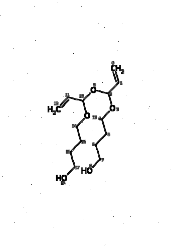 C=CC(OCCCCO)OC(C=C)OCCCCO